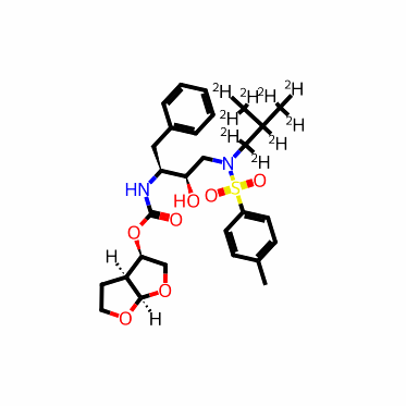 [2H]C([2H])([2H])C([2H])(C([2H])([2H])[2H])C([2H])([2H])N(C[C@@H](O)[C@H](Cc1ccccc1)NC(=O)O[C@H]1CO[C@H]2OCC[C@H]21)S(=O)(=O)c1ccc(C)cc1